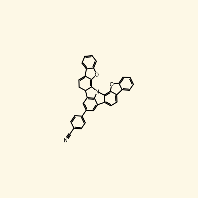 N#Cc1ccc(-c2cc3c4c(c2)c2ccc5c6ccccc6oc5c2n4C2=c4oc5ccccc5c4=CCC23)cc1